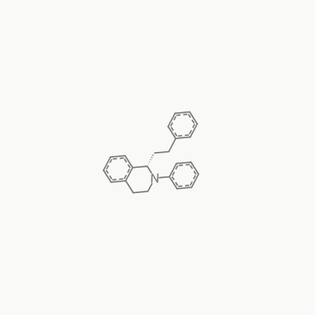 c1ccc(CC[C@H]2c3ccccc3CCN2c2ccccc2)cc1